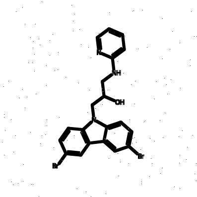 OC(CNc1ccccn1)Cn1c2ccc(Br)cc2c2cc(Br)ccc21